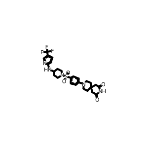 O=C1CC2(CCN(c3ccc(S(=O)(=O)N4CCC(Nc5ccc(C(F)(F)F)cn5)CC4)cc3)CC2)CC(=O)N1